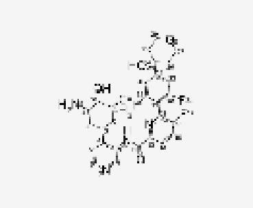 C[C@H]1C[C@@H](c2ccncc2NC(=O)c2ccc(F)c(-c3c(F)cc(C4(O)CCOCC4)cc3F)n2)C[C@@H](N)[C@@H]1O